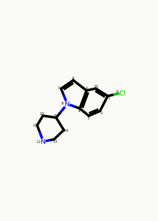 Clc1ccc2c(ccn2C2CC[N]CC2)c1